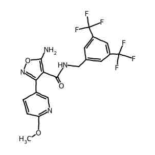 COc1ccc(-c2noc(N)c2C(=O)NCc2cc(C(F)(F)F)cc(C(F)(F)F)c2)cn1